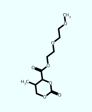 COCCOCCOC(=O)C1OC(=O)OCC1C